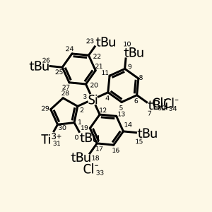 CC(C)(C)C1=C([Si](c2cc(C(C)(C)C)cc(C(C)(C)C)c2)(c2cc(C(C)(C)C)cc(C(C)(C)C)c2)c2cc(C(C)(C)C)cc(C(C)(C)C)c2)CC=[C]1[Ti+3].[Cl-].[Cl-].[Cl-]